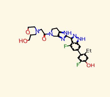 CCc1cc(O)c(F)cc1-c1cc(F)c2c(-c3nc4c([nH]3)CCN(C(=O)CN3CCOC(CO)C3)C4)n[nH]c2c1